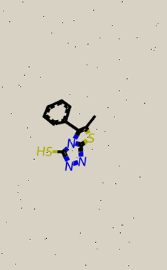 Cc1sc2nnc(S)n2c1-c1ccccc1